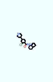 O=C(NC1CCCc2ccccc21)c1ccc(-c2ccncc2)cc1Cl